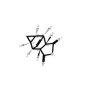 O=C1OC(=O)[C@H]2[C@H]3C=C[C@H]([C@H]4C[C@@H]34)[C@@H]12